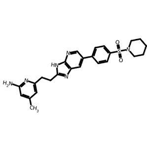 Cc1cc(N)nc(CCc2nc3cc(-c4ccc(S(=O)(=O)N5CCCCC5)cc4)cnc3[nH]2)c1